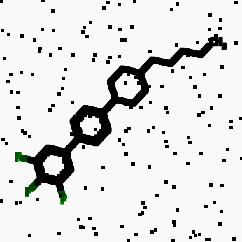 CCCCCC1CCC(c2ccc(-c3cc(F)c(F)c(F)c3)cc2)CC1